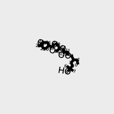 CCC(CCC(C)(C)O)COCC(=O)OC1COC(C2CCC3(C)OC3C2)OC1